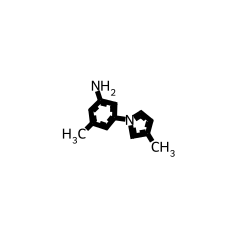 Cc1cc(N)cc(-n2ccc(C)c2)c1